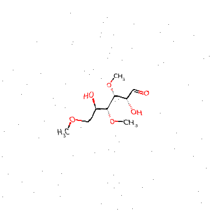 COC[C@@H](O)[C@@H](OC)[C@H](OC)[C@@H](O)C=O